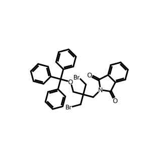 O=C1c2ccccc2C(=O)N1CC(CBr)(CBr)COC(c1ccccc1)(c1ccccc1)c1ccccc1